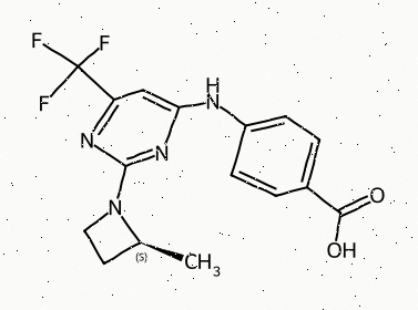 C[C@H]1CCN1c1nc(Nc2ccc(C(=O)O)cc2)cc(C(F)(F)F)n1